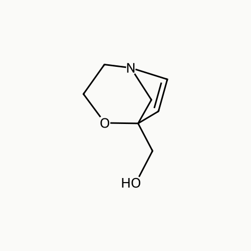 OCC12C=CN(CCO1)C2